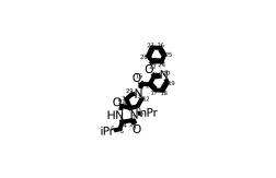 CCCN1C(=O)C(CC(C)C)NC(=O)C12CCN(C(=O)c1cccnc1Oc1ccccc1)CC2